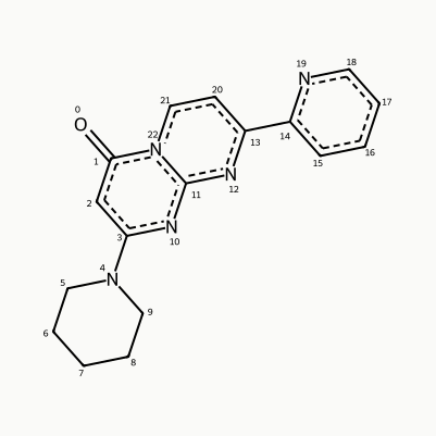 O=c1cc(N2CCCCC2)nc2nc(-c3ccccn3)ccn12